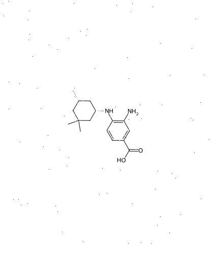 C[C@@H]1C[C@H](Nc2ccc(C(=O)O)cc2N)CC(C)(C)C1